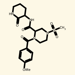 COc1ccc(C(=O)N2CCN(S(C)(=O)=O)CC2C(=O)NC2CCCNC2=O)cc1